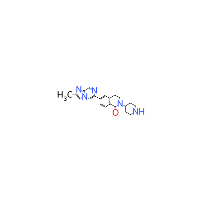 Cc1cn2cc(-c3ccc4c(c3)CCN(C3CCNCC3)C4=O)ncc2n1